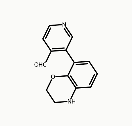 O=Cc1ccncc1-c1cccc2c1OCCN2